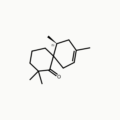 CC1=CCC2(CCCC(C)(C)C2=O)[C@@H](C)C1